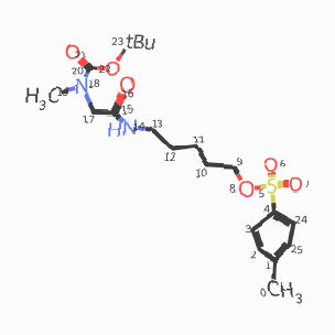 Cc1ccc(S(=O)(=O)OCCCCCNC(=O)CN(C)C(=O)OC(C)(C)C)cc1